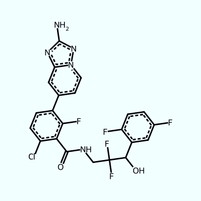 Nc1nc2cc(-c3ccc(Cl)c(C(=O)NCC(F)(F)C(O)c4cc(F)ccc4F)c3F)ccn2n1